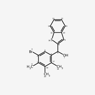 Cc1c(Br)cc(C(O)c2cc3ccccc3s2)c(C)c1C